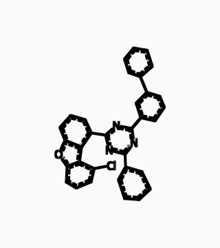 Clc1cccc2oc3cccc(-c4nc(-c5ccccc5)nc(-c5cccc(-c6ccccc6)c5)n4)c3c12